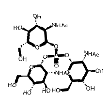 CC(=O)N[C@H]1[C@@H](OP(=O)(O[C@H]2O[C@H](CO)[C@@H](O)[C@H](O)[C@H]2NC(C)=O)O[C@H]2O[C@H](CO)[C@@H](O)[C@H](O)[C@H]2NC(C)=O)O[C@H](CO)[C@@H](O)[C@@H]1O